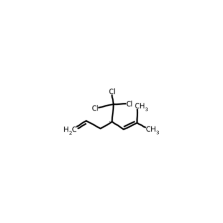 C=CC[C](C=C(C)C)C(Cl)(Cl)Cl